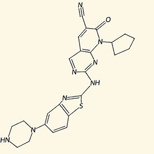 N#Cc1cc2cnc(Nc3nc4cc(N5CCNCC5)ccc4s3)nc2n(C2CCCC2)c1=O